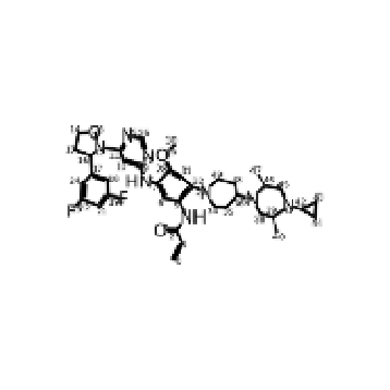 C=CC(=O)Nc1cc(Nc2cc(N3OCCC3c3cc(F)cc(F)c3)ncn2)c(OC)cc1N1CCC(N2C[C@H](C)N(C3CC3)C[C@@H]2C)CC1